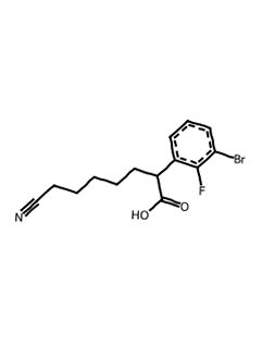 N#CCCCCCC(C(=O)O)c1cccc(Br)c1F